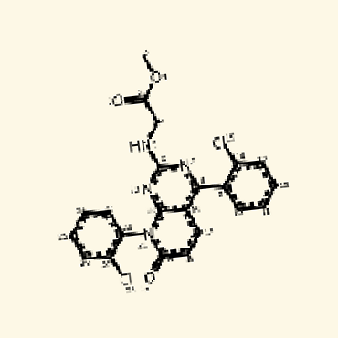 COC(=O)CNc1nc(-c2ccccc2Cl)c2ccc(=O)n(-c3ccccc3Cl)c2n1